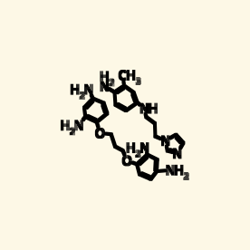 Cc1cc(NCCCn2ccnc2)ccc1N.Nc1ccc(OCCCOc2ccc(N)cc2N)c(N)c1